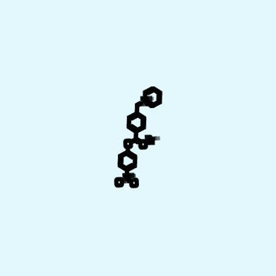 O=C(Oc1ccc([N+](=O)[O-])cc1)c1ccc(C[n+]2ccccc2)cc1.[Br-]